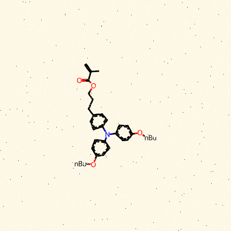 C=C(C)C(=O)OCCCc1ccc(N(c2ccc(OCCCC)cc2)c2ccc(OCCCC)cc2)cc1